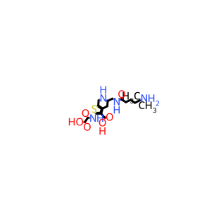 CC(C)(N)CCCC(=O)NCC1Cc2c(sc(NC(=O)C(=O)O)c2C(=O)O)CN1